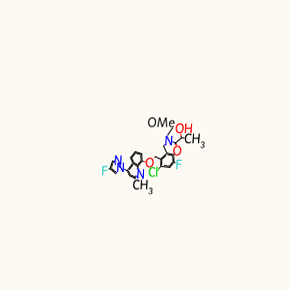 COCCN(Cc1cc(F)cc(Cl)c1COc1cccc2c(-n3cc(F)cn3)cc(C)nc12)C(=O)C(C)O